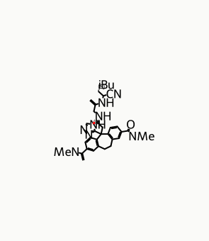 C=C(CN[C@@H](C)CC1(c2nnc[nH]2)c2ccc(C(=C)NC)cc2CCc2cc(C(=O)NC)ccc21)NC(C#N)C[C@@H](C)CC